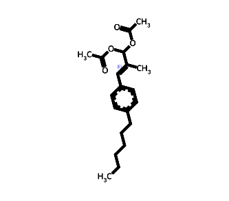 CCCCCCc1ccc(/C=C(\C)C(OC(C)=O)OC(C)=O)cc1